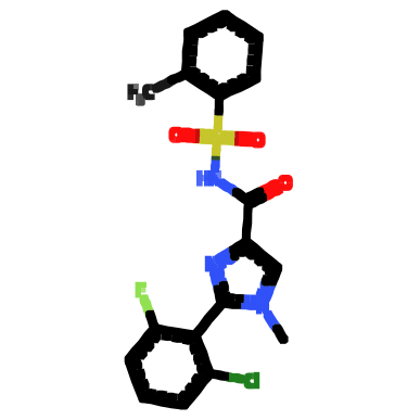 Cn1cc(C(=O)NS(=O)(=O)c2ccccc2C(F)(F)F)nc1-c1c(F)cccc1Cl